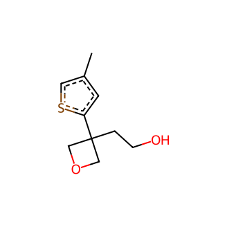 Cc1csc(C2(CCO)COC2)c1